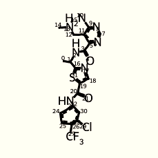 CC(NC(=O)c1ncnc(N)c1CN(C)C)c1ncc(C(=O)Nc2ccc(C(F)(F)F)c(Cl)c2)s1